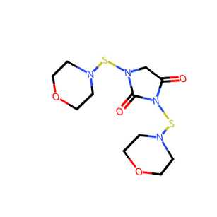 O=C1CN(SN2CCOCC2)C(=O)N1SN1CCOCC1